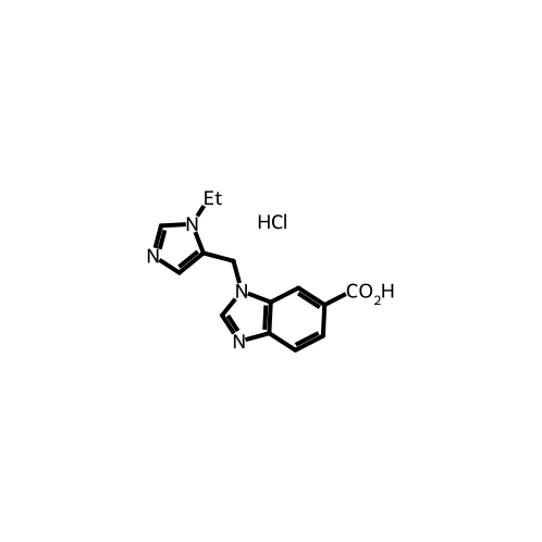 CCn1cncc1Cn1cnc2ccc(C(=O)O)cc21.Cl